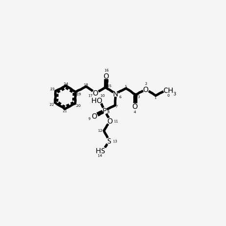 CCOC(=O)CN(CP(=O)(O)OCSS)C(=O)OCc1ccccc1